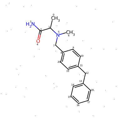 CC(C(N)=O)N(C)Cc1ccc(Cc2ccccc2)cc1